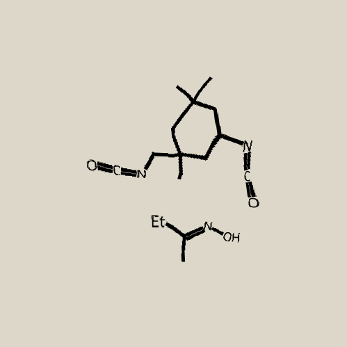 CC1(C)CC(N=C=O)CC(C)(CN=C=O)C1.CCC(C)=NO